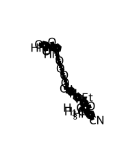 CCc1cc2c(cc1N1CCC(N3CCN(C(=O)COCCOCCOCCOCCNc4cccc5c4CN(C4CCC(=O)NC4=O)C5=O)CC3)CC1)C(C)(C)c1[nH]c3cc(C#N)ccc3c1C2=O